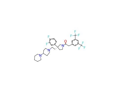 O=C(Cc1cc(C(F)(F)F)cc(C(F)(F)F)c1)N1CC[C@@](CCN2CCC(N3CCCCC3)CC2)(c2ccc(F)c(F)c2)C1